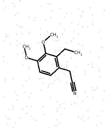 CCc1c(CC#N)ccc(OC)c1OC